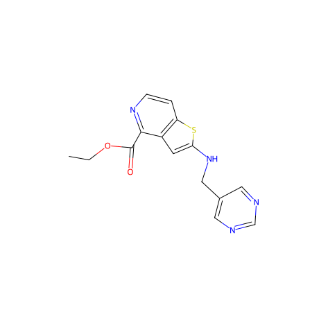 CCOC(=O)c1nccc2sc(NCc3cncnc3)cc12